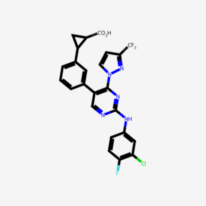 O=C(O)C1CC1c1cccc(-c2cnc(Nc3ccc(F)c(Cl)c3)nc2-n2ccc(C(F)(F)F)n2)c1